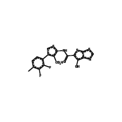 Cc1ccc(-c2csc(NC(=O)c3sc4scnc4c3O)c2C(=O)O)c(F)c1F